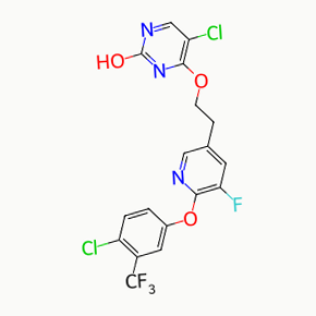 Oc1ncc(Cl)c(OCCc2cnc(Oc3ccc(Cl)c(C(F)(F)F)c3)c(F)c2)n1